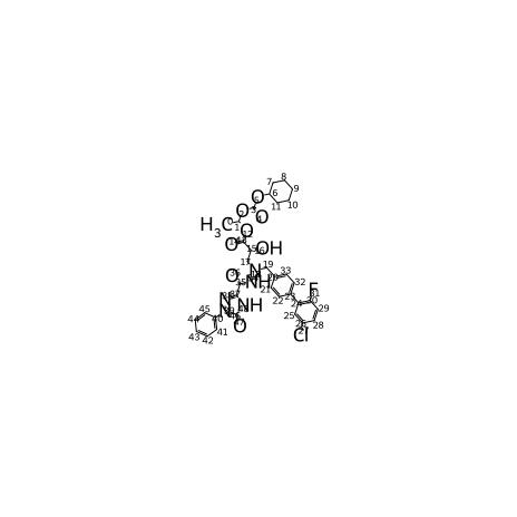 CC(OC(=O)OC1CCCCC1)OC(=O)[C@H](O)CN(Cc1ccc(-c2cc(Cl)ccc2F)cc1)NC(=O)c1nn(-c2ccccc2)c(=O)[nH]1